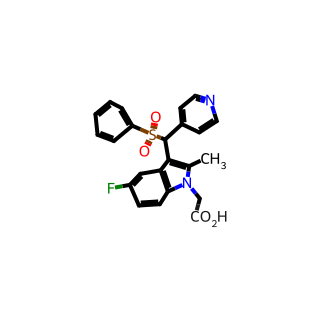 Cc1c(C(c2ccncc2)S(=O)(=O)c2ccccc2)c2cc(F)ccc2n1CC(=O)O